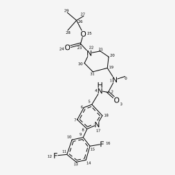 CN(C(=O)Nc1ccc(-c2cc(F)ccc2F)nc1)C1CCN(C(=O)OC(C)(C)C)CC1